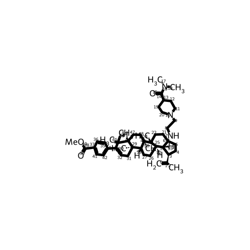 C=C(C)[C@@H]1CC[C@]2(NCCN3CCC(C(=O)N(C)C)CC3)CC[C@]3(C)[C@H](CC[C@@H]4[C@@]5(C)CC=C(c6ccc(C(=O)OC)cc6)C(C)(C)[C@@H]5CC[C@]43C)[C@@H]12